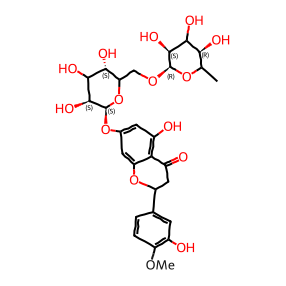 COc1ccc(C2CC(=O)c3c(O)cc(O[C@@H]4OC(CO[C@@H]5OC(C)[C@H](O)C(O)[C@@H]5O)[C@@H](O)C(O)[C@@H]4O)cc3O2)cc1O